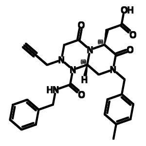 C#CCN1CC(=O)N2[C@@H](CC(=O)O)C(=O)N(Cc3ccc(C)cc3)C[C@@H]2N1C(=O)NCc1ccccc1